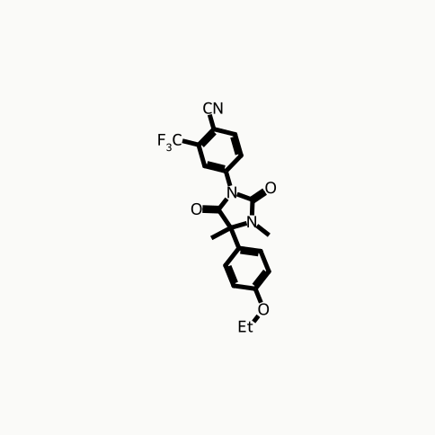 CCOc1ccc(C2(C)C(=O)N(c3ccc(C#N)c(C(F)(F)F)c3)C(=O)N2C)cc1